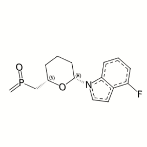 C=P(=O)C[C@@H]1CCC[C@H](n2ccc3c(F)cccc32)O1